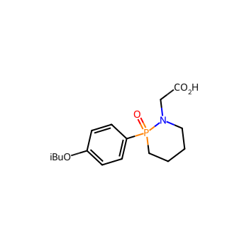 CC(C)COc1ccc(P2(=O)CCCCN2CC(=O)O)cc1